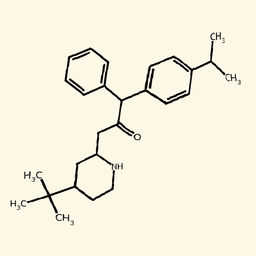 CC(C)c1ccc(C(C(=O)CC2CC(C(C)(C)C)CCN2)c2ccccc2)cc1